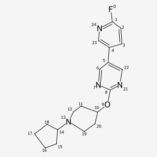 Fc1ccc(-c2cnc(OC3CCN(C4CCCC4)CC3)nc2)cn1